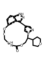 O=C1NCCCOc2ccc3[nH]nc(c3c2)-c2cnn(c2)C(C2CCOCC2)CO1